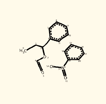 CCC(OC=O)c1ccccc1.O=[N+]([O-])c1ccccc1